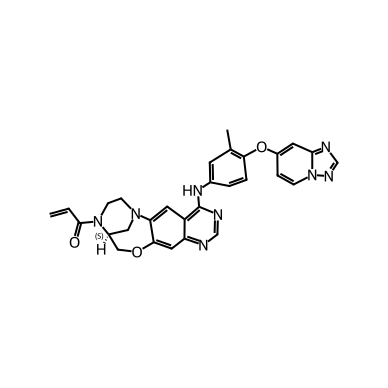 C=CC(=O)N1CCN2C[C@H]1COc1cc3ncnc(Nc4ccc(Oc5ccn6ncnc6c5)c(C)c4)c3cc12